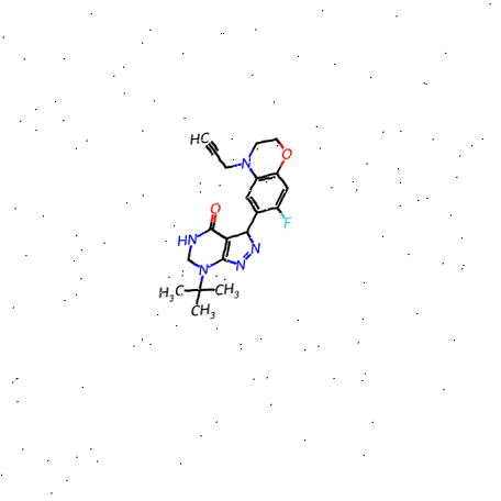 C#CCN1CCOc2cc(F)c(C3N=NC4=C3C(=O)NCN4C(C)(C)C)cc21